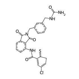 NC(=O)NCc1cccc(CN2C(=O)c3cccc(NC(=O)C4=CC(Cl)=CCC4=S)c3C2=O)c1